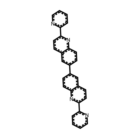 c1ccc(-c2ccc3cc(-c4ccc5nc(-c6ccccn6)ccc5c4)ccc3n2)nc1